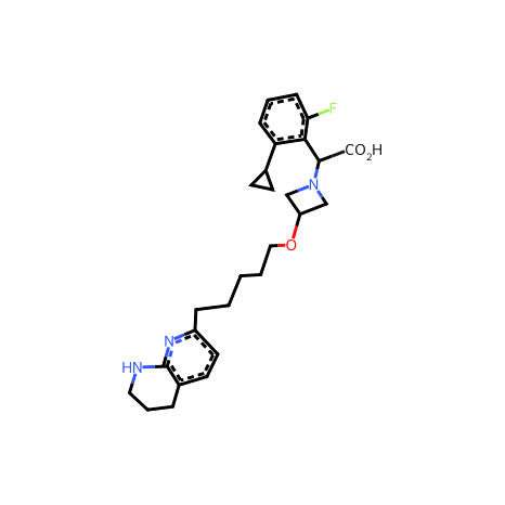 O=C(O)C(c1c(F)cccc1C1CC1)N1CC(OCCCCCc2ccc3c(n2)NCCC3)C1